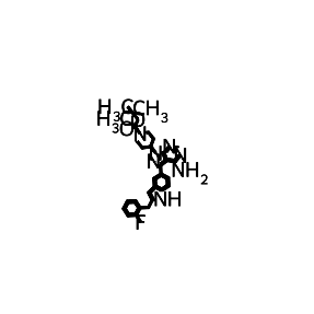 CC(C)(C)OC(=O)N1CCC(n2nc(-c3ccc4[nH]c(Cc5ccccc5F)cc4c3)c3c(N)ncnc32)CC1